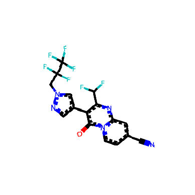 N#Cc1ccn2c(=O)c(-c3cnn(CC(F)(F)C(F)(F)F)c3)c(C(F)F)nc2c1